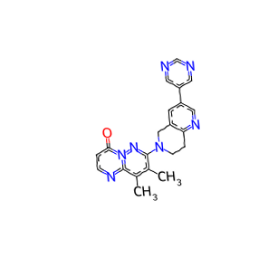 Cc1c(N2CCc3ncc(-c4cncnc4)cc3C2)nn2c(=O)ccnc2c1C